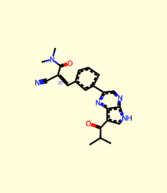 CC(C)C(=O)c1c[nH]c2ncc(-c3cccc(/C=C(/C#N)C(=O)N(C)C)c3)nc12